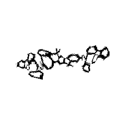 CC1(C)c2cc(N(c3ccccc3)c3cccc4c3oc3ccccc34)ccc2-c2cc3c(cc21)-c1ccc(N(c2ccccc2)c2cccc4c2oc2ccccc24)c2cccc(c12)C3(C)C